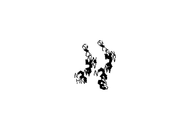 C[Si](C)(C)CCOCn1ccc2c(-c3cnn(C(CC#N)C4CCN(c5ccc6c(n5)OCC6)C4)c3)ncnc21.C[Si](C)(C)CCOCn1ccc2c(-c3cnn(C(CC#N)C4CCNC4)c3)ncnc21